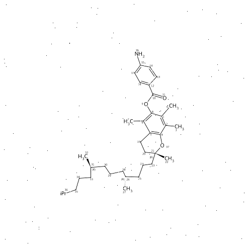 Cc1c(C)c2c(c(C)c1OC(=O)c1ccc(N)cc1)CC[C@@](C)(CCC[C@H](C)CCC[C@H](C)CCCC(C)C)O2